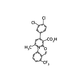 Cc1cc(-c2ccc(Cl)c(Cl)c2)c(C(=O)O)c(=O)n1-c1cccc(C(F)(F)F)c1F